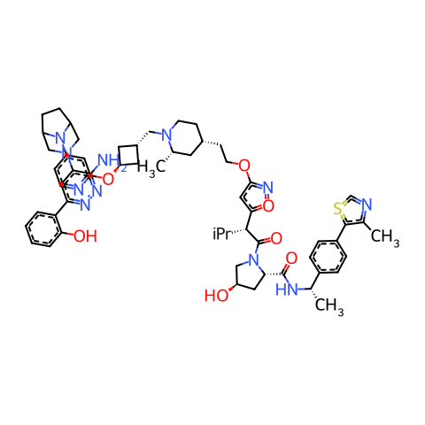 Cc1ncsc1-c1ccc([C@H](C)NC(=O)[C@@H]2C[C@@H](O)CN2C(=O)[C@@H](c2cc(OCC[C@H]3CCN(C[C@H]4C[C@H](Oc5cc(N6C7CCC6CN(c6cc(-c8ccccc8O)nnc6N)C7)ccn5)C4)[C@@H](C)C3)no2)C(C)C)cc1